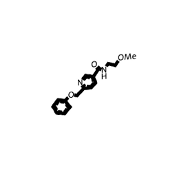 COCCNC(=O)c1ccc(COc2ccccc2)nc1